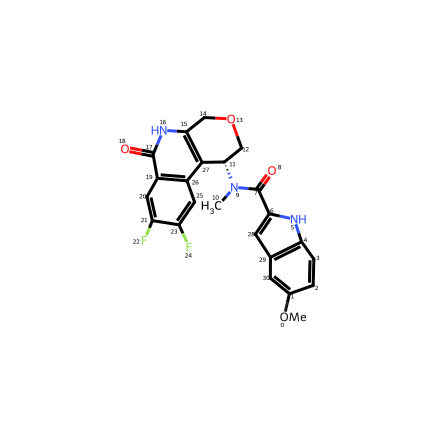 COc1ccc2[nH]c(C(=O)N(C)[C@H]3COCc4[nH]c(=O)c5cc(F)c(F)cc5c43)cc2c1